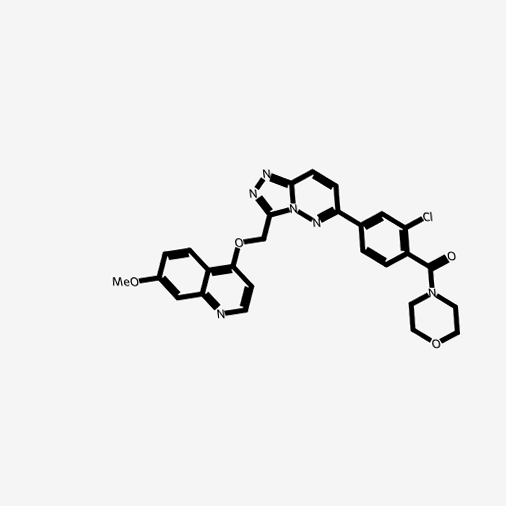 COc1ccc2c(OCc3nnc4ccc(-c5ccc(C(=O)N6CCOCC6)c(Cl)c5)nn34)ccnc2c1